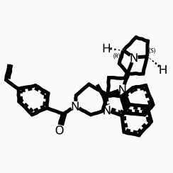 C=Cc1ccc(C(=O)N2CCC(CCN3[C@@H]4CC[C@H]3CC(n3c(C)nc5ccccc53)C4)(c3ccccc3)CC2)cc1